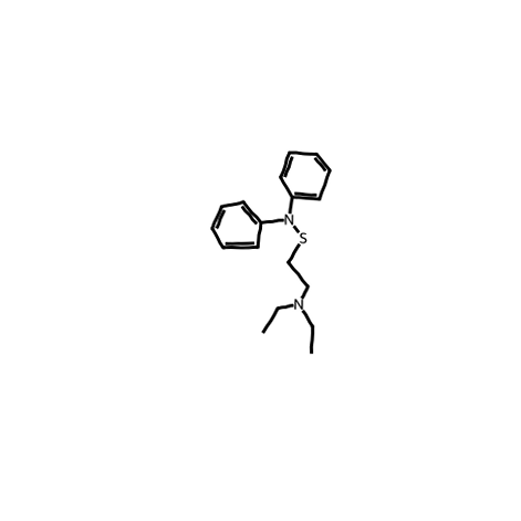 CCN(CC)CCSN(c1ccccc1)c1ccccc1